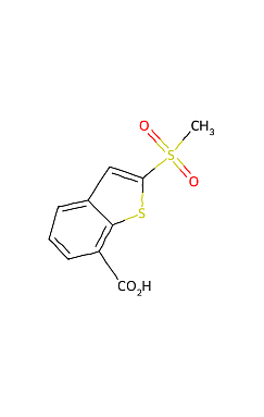 CS(=O)(=O)c1cc2cccc(C(=O)O)c2s1